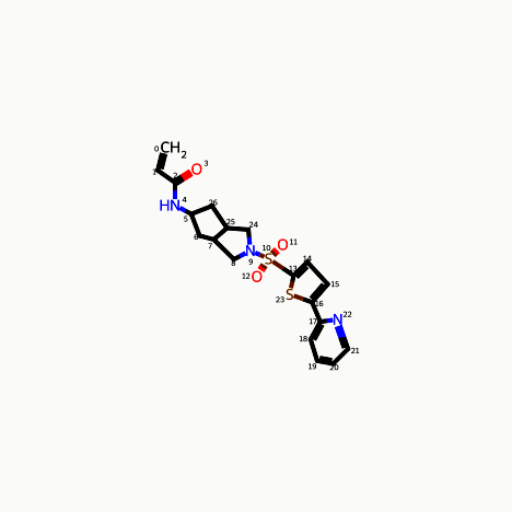 C=CC(=O)NC1CC2CN(S(=O)(=O)c3ccc(-c4ccccn4)s3)CC2C1